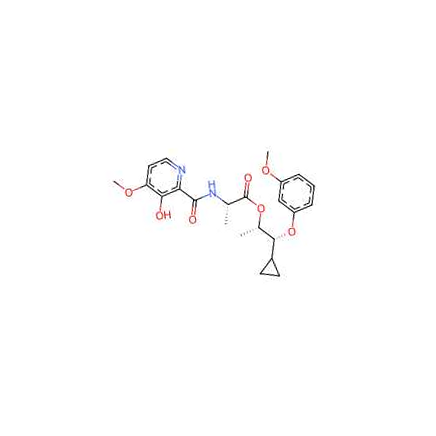 COc1cccc(O[C@H](C2CC2)[C@H](C)OC(=O)[C@H](C)NC(=O)c2nccc(OC)c2O)c1